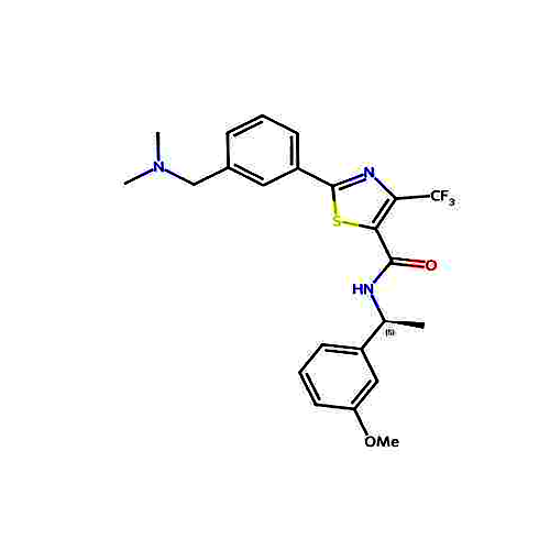 COc1cccc([C@H](C)NC(=O)c2sc(-c3cccc(CN(C)C)c3)nc2C(F)(F)F)c1